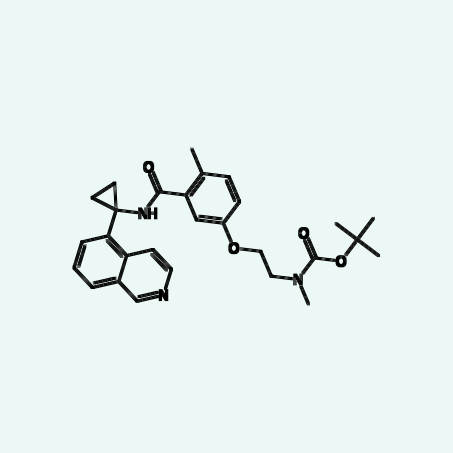 Cc1ccc(OCCN(C)C(=O)OC(C)(C)C)cc1C(=O)NC1(c2cccc3cnccc23)CC1